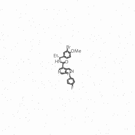 CC[C@@H](NC(=O)c1cncc2c1cnn2-c1ccc(F)cc1)c1ccc(OC)c(Br)c1